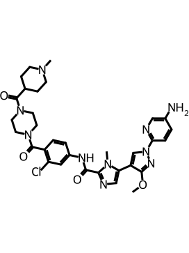 COc1nn(-c2ccc(N)cn2)cc1-c1cnc(C(=O)Nc2ccc(C(=O)N3CCN(C(=O)C4CCN(C)CC4)CC3)c(Cl)c2)n1C